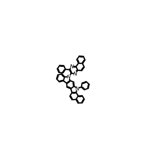 c1ccc(-c2nc3c(ccc4ccccc43)nc2-n2c3ccccc3c3cc4c5ccc6ccccc6c5n(-c5ccccc5)c4cc32)cc1